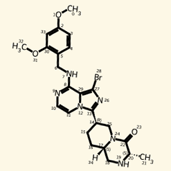 COc1ccc(CNc2nccn3c([C@@H]4CC[C@H]5CN[C@@H](C)C(=O)N5C4)nc(Br)c23)c(OC)c1